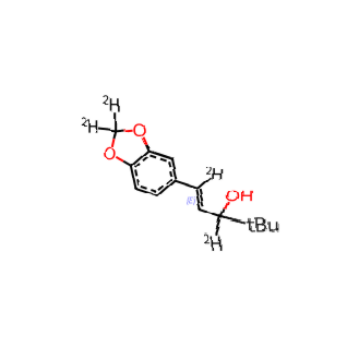 [2H]/C(=C\C([2H])(O)C(C)(C)C)c1ccc2c(c1)OC([2H])([2H])O2